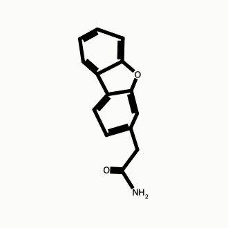 NC(=O)Cc1ccc2c(c1)oc1ccccc12